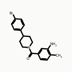 Cc1ccc(C(=O)N2CCC(c3ccc(Br)cc3)CC2)cc1N